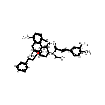 CC(=O)Oc1ccc2c3c1C[C@@H]1[C@@H]4CC[C@H](N(CC(C)C)C(=O)C#Cc5ccc(C)c(C)c5)[C@H](O2)[C@]34CCN1CCc1ccccc1